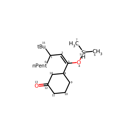 CCCCCC(/C=C(/O[SiH](C)C)C1CCCC(=O)C1)C(C)(C)C